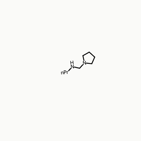 CCCNCN1CCCC1